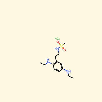 CCNc1ccc(NCC)c(CCNS(C)(=O)=O)c1.Cl